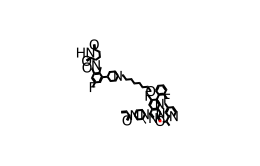 C=CC(=O)N1CCN(c2nc(=O)n(-c3c(C)ccnc3C(C)C)c3nc(-c4c(F)cccc4OCCCCCCCN4CCC(c5cc(F)cc6c5CN(C5CCC(=O)NC5=O)C6=O)CC4)c(F)cc23)[C@@H](C)C1